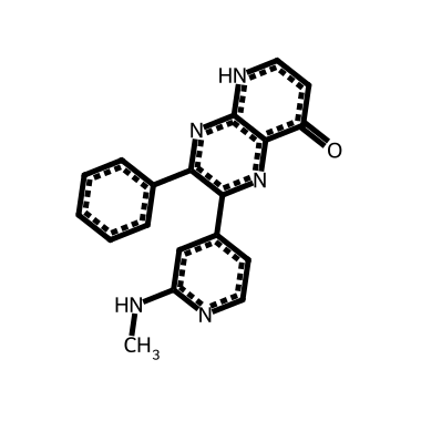 CNc1cc(-c2nc3c(=O)cc[nH]c3nc2-c2ccccc2)ccn1